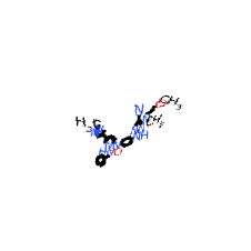 COCCCN(C)c1nc(N[C@H]2CC[C@H](N(C(=O)NCc3ccccc3)c3ccc(-c4cnn(C)c4)cn3)CC2)ncc1C#N